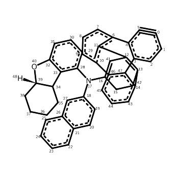 c1ccc2c(c#1)-c1cccc3c1C1=C(CCC(N(c4ccc5ccccc5c4)c4cccc5c4C4CCCC[C@@H]4O5)=C1)c1cccc-3c1-2